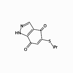 CC(C)SC1=CC(=O)c2[nH]ncc2C1=O